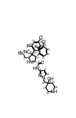 CC(C)(C)C[C@@H]1N[C@@H](C(=O)Nc2ccn(CC3(O)CCNCC3)n2)[C@H](c2cccc(Cl)c2F)[C@@]1(C#N)c1ccc(Cl)cc1F